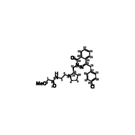 COCC(=O)NCCN1CCC[C@@H]1Cn1nc(Cc2ccc(Cl)cc2)c2ccccc2c1=O